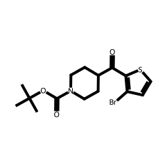 CC(C)(C)OC(=O)N1CCC(C(=O)c2sccc2Br)CC1